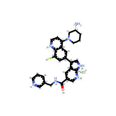 Cl.N[C@@H]1CCCN(c2ccnc3c(F)cc(-c4c[nH]c5ncc(C(=O)NCc6cccnc6)cc45)cc23)C1